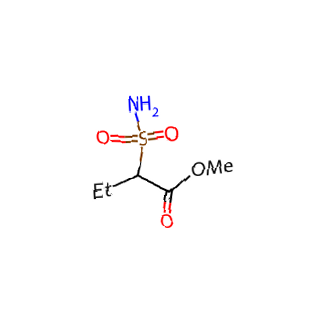 CCC(C(=O)OC)S(N)(=O)=O